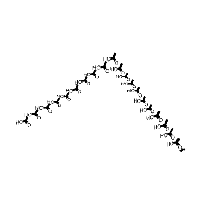 CC(=O)O.CC(=O)O.CC(=O)O.CC(=O)O.CC(=O)O.CC(=O)O.CC(=O)O.CC(=O)O.CC(=O)O.CC(=O)O.CC(=O)O.CC(=O)O.CC(=O)O.CC(=O)O.CC(=O)O.CC(=O)O.CC(=O)O.CC(=O)O.CC(=O)O.CC(=O)O.[CH2]C